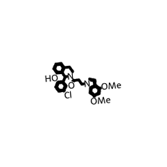 COc1cc(OC)c2ccn(CCC(=O)N3CCc4ccccc4C3c3cc(Cl)ccc3O)c2c1